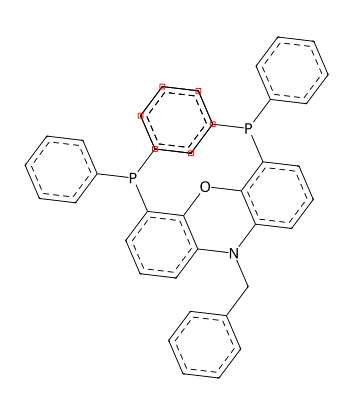 c1ccc(CN2c3cccc(P(c4ccccc4)c4ccccc4)c3Oc3c2cccc3P(c2ccccc2)c2ccccc2)cc1